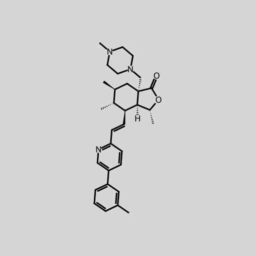 Cc1cccc(-c2ccc(/C=C/[C@H]3[C@H](C)[C@@H](C)C[C@@]4(CN5CCN(C)CC5)C(=O)O[C@H](C)[C@@H]34)nc2)c1